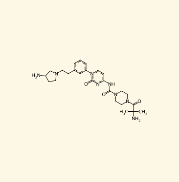 CC(C)(N)C(=O)N1CCN(C(=O)Nc2ccn(-c3cccc(CCN4CCC(N)C4)c3)c(=O)n2)CC1